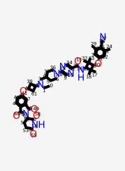 CCN(CC1CCN(c2cnc(C(=O)NC3C(C)(C)C(Oc4cc(C)c(C#N)c(C)c4)C3(C)C)cn2)CC1)C1CC(Oc2ccc3c(c2)C(=O)N([C@@H]2CCC(=O)NC2=O)C3=O)C1